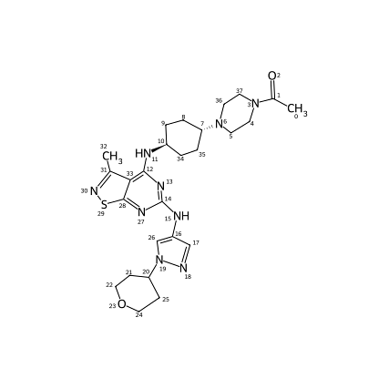 CC(=O)N1CCN([C@H]2CC[C@H](Nc3nc(Nc4cnn(C5CCOCC5)c4)nc4snc(C)c34)CC2)CC1